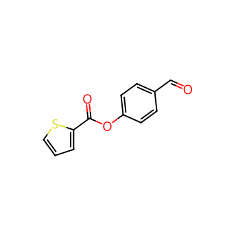 O=Cc1ccc(OC(=O)c2cccs2)cc1